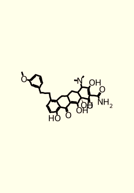 COc1cccc(CCc2ccc(O)c3c2CC2CC4C(N(C)C)C(O)=C(C(N)=O)C(=O)[C@@]4(O)C(O)=C2C3=O)c1